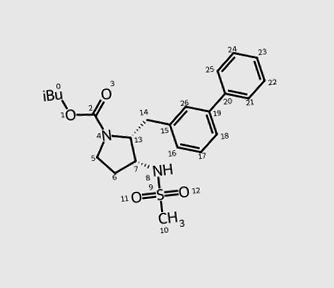 CCC(C)OC(=O)N1CC[C@@H](NS(C)(=O)=O)[C@H]1Cc1cccc(-c2ccccc2)c1